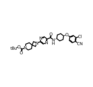 CC(C)(C)OC(=O)N1CCC2(CC1)CN(c1cnc(C(=O)N[C@H]3CC[C@H](Oc4ccc(C#N)c(Cl)c4)CC3)cn1)C2